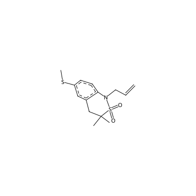 C=CCN1c2ccc(SC)cc2CC(C)(C)S1(=O)=O